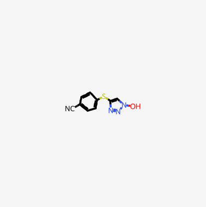 N#Cc1ccc(Sc2cn(O)nn2)cc1